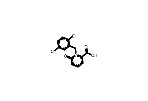 O=C(O)c1cccc(=O)n1Cc1cc(Cl)ccc1Cl